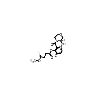 COC(=O)CCC(=O)Oc1c2n(ccc1=O)N[C@@H]1COCCN1C2=O